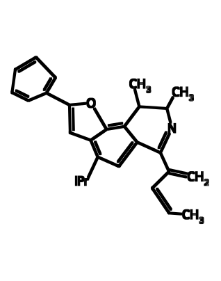 C=C(/C=C\C)C1=NC(C)C(C)c2c1cc(C(C)C)c1cc(-c3ccccc3)oc21